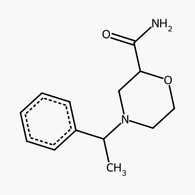 CC(c1ccccc1)N1CCOC(C(N)=O)C1